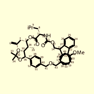 C=CC[C@H](OC(=O)[C@H](CC(C)C)NC(=O)OCC1c2ccccc2-c2ccccc21)[C@H](C)[C@H]1OC(C)(C)O[C@@H]1c1ccc(COCc2ccc(OC)cc2)cc1